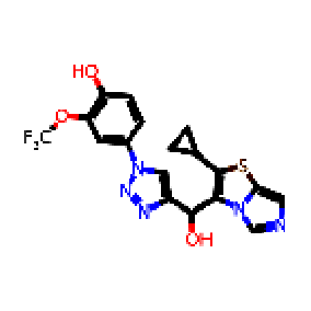 Oc1ccc(-n2cc(C(O)c3c(C4CC4)sc4cncn34)nn2)cc1OC(F)(F)F